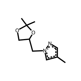 Cc1cnn(CC2COC(C)(C)O2)c1